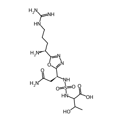 CC(O)C(NS(=O)(=O)N[C@@H](CC(N)=O)c1nnc([C@@H](N)CCCNC(=N)N)o1)C(=O)O